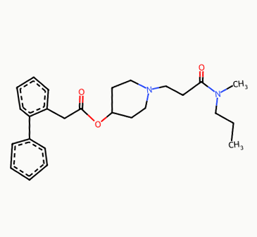 CCCN(C)C(=O)CCN1CCC(OC(=O)Cc2ccccc2-c2ccccc2)CC1